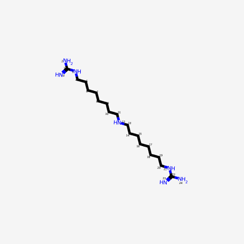 N=C(N)NCCCCCCCCNCCCCCCCCNC(=N)N